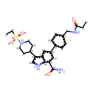 CCC(=O)NCc1ccc(-c2cc(C(N)=O)c3[nH]cc(C4CCN(S(=O)(=O)CC)CC4)c3c2)cc1